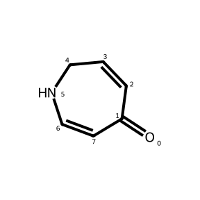 O=C1C=CCNC=C1